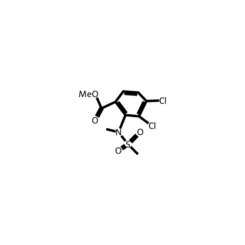 COC(=O)c1ccc(Cl)c(Cl)c1N(C)S(C)(=O)=O